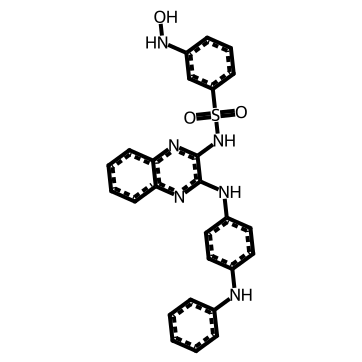 O=S(=O)(Nc1nc2ccccc2nc1Nc1ccc(Nc2ccccc2)cc1)c1cccc(NO)c1